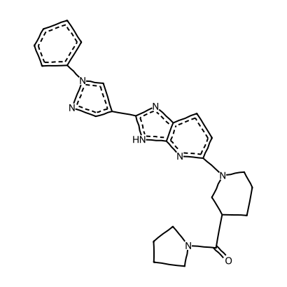 O=C(C1CCCN(c2ccc3nc(-c4cnn(-c5ccccc5)c4)[nH]c3n2)C1)N1CCCC1